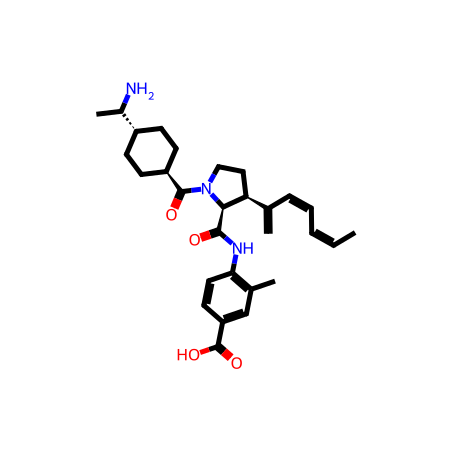 C=C(/C=C\C=C/C)[C@@H]1CCN(C(=O)[C@H]2CC[C@H](C(C)N)CC2)[C@@H]1C(=O)Nc1ccc(C(=O)O)cc1C